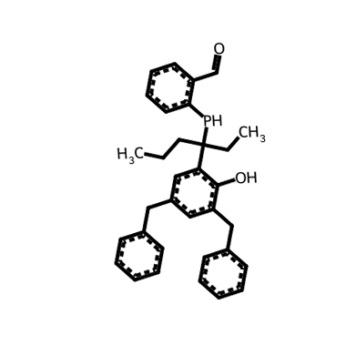 CCCC(CC)(Pc1ccccc1C=O)c1cc(Cc2ccccc2)cc(Cc2ccccc2)c1O